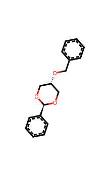 c1ccc(CO[C@H]2CO[C@H](c3ccccc3)OC2)cc1